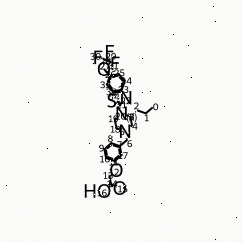 CCC[C@@H]1CN(Cc2cccc(OCC(=O)O)c2)CCN1c1nc2ccc(OC(F)(F)F)cc2s1